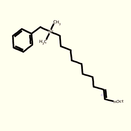 CCCCCCCC/C=C/CCCCCCCC[N+](C)(C)Cc1ccccc1